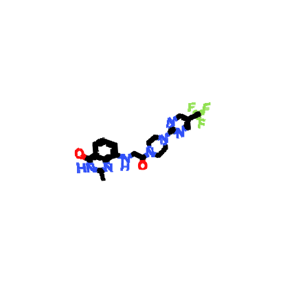 Cc1nc2c(NCC(=O)N3CCN(c4ncc(C(F)(F)F)cn4)CC3)cccc2c(=O)[nH]1